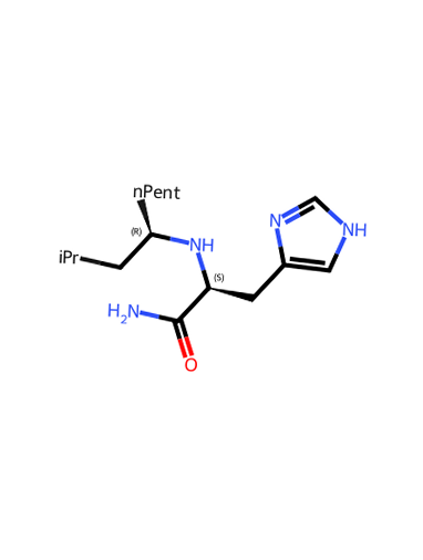 CCCCC[C@H](CC(C)C)N[C@@H](Cc1c[nH]cn1)C(N)=O